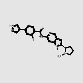 CN1CCC[C@@H]1c1cc2cnc(NC(=O)c3ccc(-c4cn[nH]c4)cc3F)cc2[nH]1